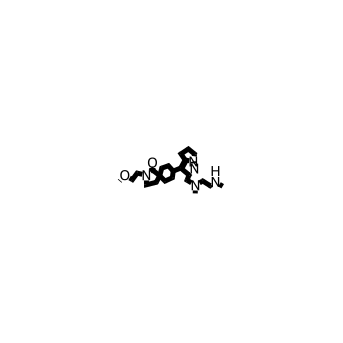 CNCCN(C)Cc1nn2c(c1C1CCC3(CC1)CCN(CCOC)C3=O)CCC2